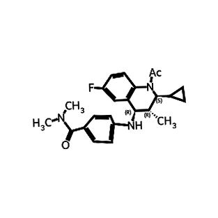 CC(=O)N1c2ccc(F)cc2[C@H](Nc2ccc(C(=O)N(C)C)cc2)[C@@H](C)[C@@H]1C1CC1